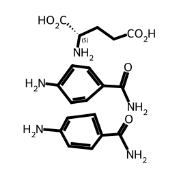 NC(=O)c1ccc(N)cc1.NC(=O)c1ccc(N)cc1.N[C@@H](CCC(=O)O)C(=O)O